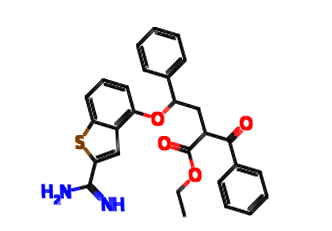 CCOC(=O)C(CC(Oc1cccc2sc(C(=N)N)cc12)c1ccccc1)C(=O)c1ccccc1